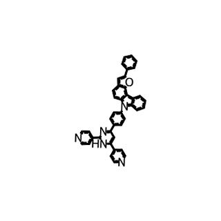 C1=C(c2ccncc2)NC(c2ccncc2)N=C1c1ccc(-n2c3ccccc3c3c4oc(-c5ccccc5)cc4ccc32)cc1